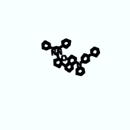 c1ccc(-c2ccc(N(c3ccccc3)c3ccc4c5c(cccc35)-c3cccc(-c5nc(-c6ccccc6)cc(-c6ccccc6)n5)c3O4)cc2)cc1